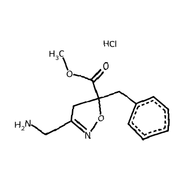 COC(=O)C1(Cc2ccccc2)CC(CN)=NO1.Cl